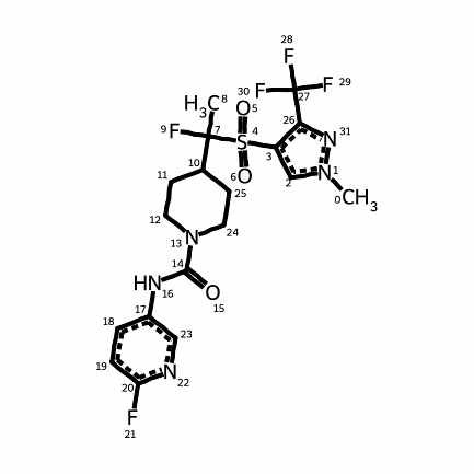 Cn1cc(S(=O)(=O)C(C)(F)C2CCN(C(=O)Nc3ccc(F)nc3)CC2)c(C(F)(F)F)n1